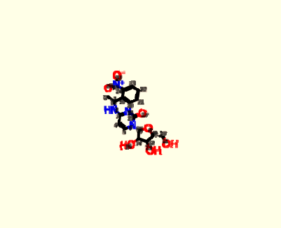 C[C@H](Nc1ccn([C@@H]2O[C@H](CO)C(O)C2O)c(=O)n1)c1ccccc1[N+](=O)[O-]